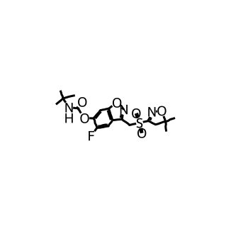 CC(C)(C)NC(=O)Oc1cc2onc(CS(=O)(=O)C3=NOC(C)(C)C3)c2cc1F